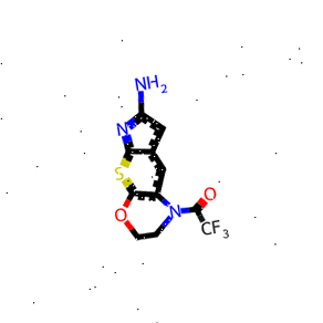 Nc1cc2cc3c(sc-2n1)OCCN3C(=O)C(F)(F)F